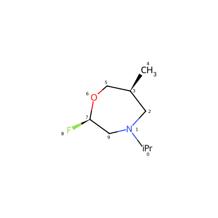 CC(C)N1C[C@H](C)CO[C@H](F)C1